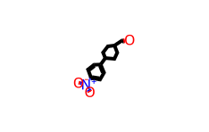 O=CC1CCC(c2ccc([N+](=O)[O-])cc2)CC1